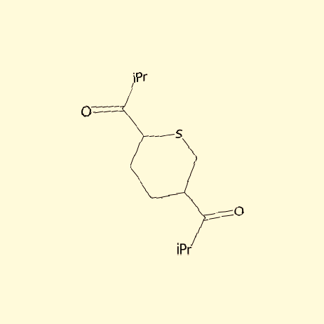 CC(C)C(=O)C1CCC(C(=O)C(C)C)SC1